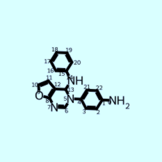 Nc1ccc(N2C=Nc3occc3C2Nc2ccccc2)cc1